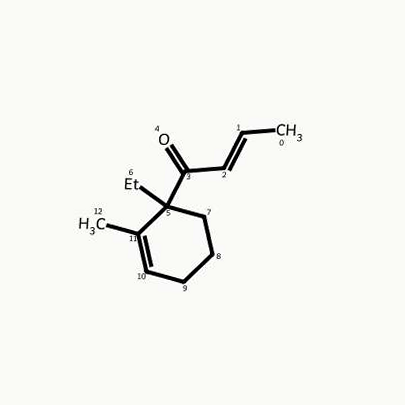 CC=CC(=O)C1(CC)CCCC=C1C